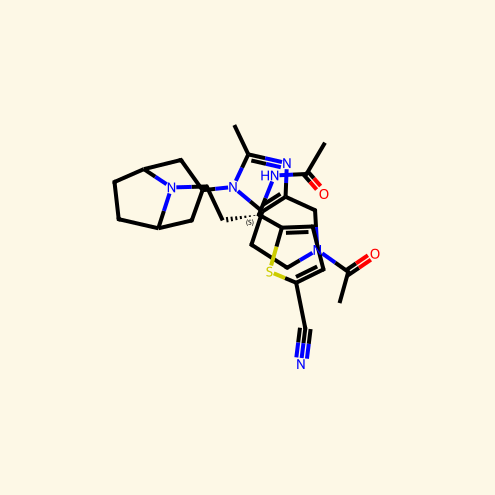 CC(=O)N[C@@H](CCN1C2CCC1CC(n1c(C)nc3c1CCN(C(C)=O)C3)C2)c1ccc(C#N)s1